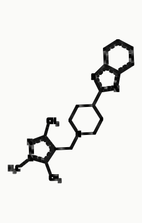 Cc1nn(C)c(C)c1CN1CCC(c2nc3ccccc3s2)CC1